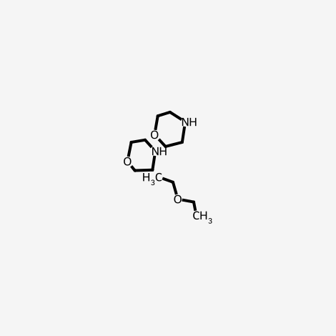 C1COCCN1.C1COCCN1.CCOCC